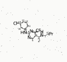 CC(C)CNC(C)c1cnc(Nc2cccc(Cl)c2)nc1C(F)(F)F